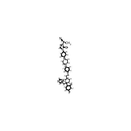 CC(C#N)n1ncn(-c2ccc(N3CCN(c4ccc(SCC5CCC(Cn6cncn6)(c6ccc(F)cc6F)O5)cc4)CC3)cc2)c1=O